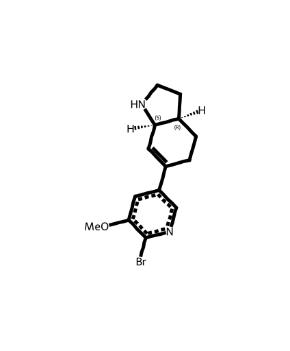 COc1cc(C2=C[C@H]3NCC[C@H]3CC2)cnc1Br